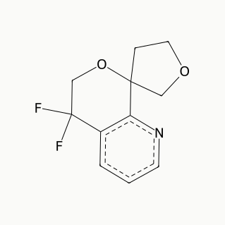 FC1(F)COC2(CCOC2)c2ncccc21